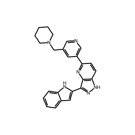 c1ccc2[nH]c(-c3n[nH]c4ccc(-c5cncc(CN6CCCCC6)c5)nc34)cc2c1